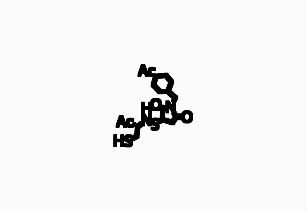 CC(=O)C1CCC(CN2C(=O)CC(SN[C@@H](CS)C(C)=O)C2=O)CC1